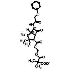 CC(C)(C(=O)[O-])C(=O)OCOC(=O)[C@@H]1N2C(=O)[C@@H](NC(=O)COc3ccccc3)[C@H]2SC1(C)C.[Na+]